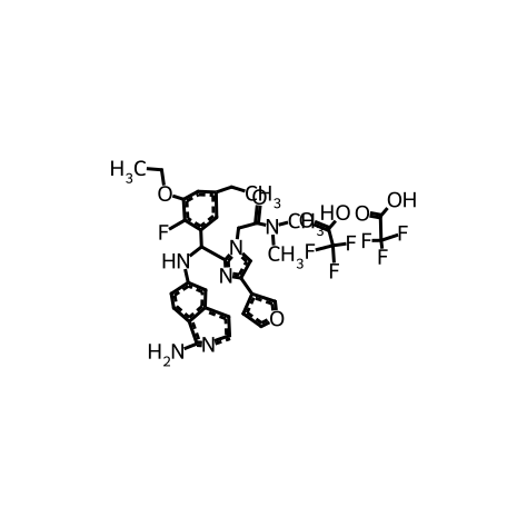 CCOc1cc(CC)cc(C(Nc2ccc3c(N)nccc3c2)c2nc(-c3ccoc3)cn2CC(=O)N(C)C)c1F.O=C(O)C(F)(F)F.O=C(O)C(F)(F)F